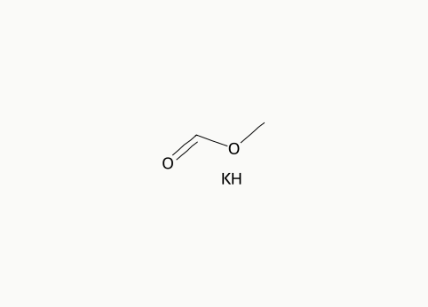 COC=O.[KH]